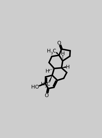 C[C@]12C=C(O)C(=O)C=C1CC[C@@H]1[C@@H]2CC[C@]2(C)C(=O)CC[C@@H]12